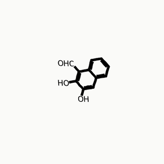 O=Cc1c(O)c(O)cc2ccccc12